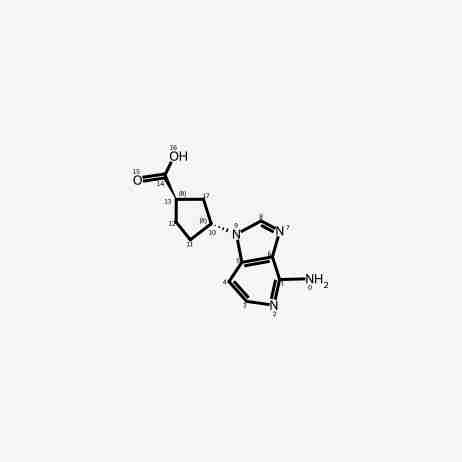 Nc1nccc2c1ncn2[C@@H]1CC[C@@H](C(=O)O)C1